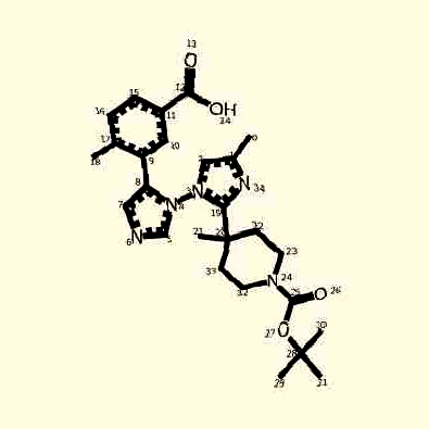 Cc1cn(-n2cncc2-c2cc(C(=O)O)ccc2C)c(C2(C)CCN(C(=O)OC(C)(C)C)CC2)n1